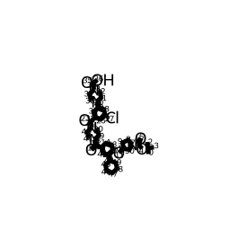 CC(C)(C)OC(=O)N1CCC(Oc2ccc(C(=O)N3CCN(C(=O)c4cc(Cl)cc(N5CCN(C(=O)O)CC5)c4)CC3)cc2C2CCCCC2)C1